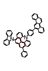 c1ccc(-c2ccc(-c3ccccc3N(c3ccc(-c4cc5c6ccccc6ccc5c5ccccc45)cc3)c3ccccc3-c3ccc(-n4c5ccccc5c5ccccc54)cc3)cc2)cc1